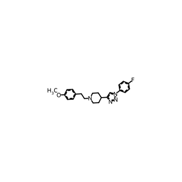 COc1ccc(CCN2CCC(c3cn(-c4ccc(F)cc4)nn3)CC2)cc1